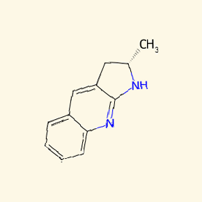 C[C@H]1Cc2cc3cc[c]cc3nc2N1